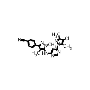 Cc1nn(-c2cc(Nc3c(C)c(-c4ccc(C#N)cc4)nn3C)ncn2)c(C)c1Cl